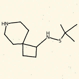 CC(C)(C)SNC1CCC12CCNCC2